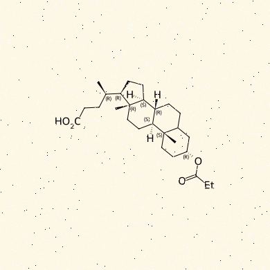 CCC(=O)O[C@@H]1CC[C@@]2(C)C(CC[C@H]3[C@@H]4CC[C@H]([C@H](C)CCC(=O)O)[C@@]4(C)CC[C@@H]32)C1